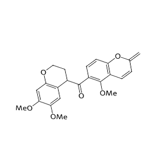 C=C1C=Cc2c(ccc(C(=O)C3CCOc4cc(OC)c(OC)cc43)c2OC)O1